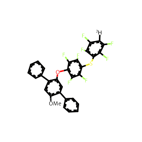 [2H]c1c(F)c(F)c(Sc2c(F)c(F)c(Oc3cc(-c4ccccc4)c(OC)cc3-c3ccccc3)c(F)c2F)c(F)c1F